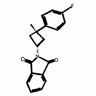 C[C@]1(c2ccc(F)cc2)C[C@@H](N2C(=O)c3ccccc3C2=O)C1